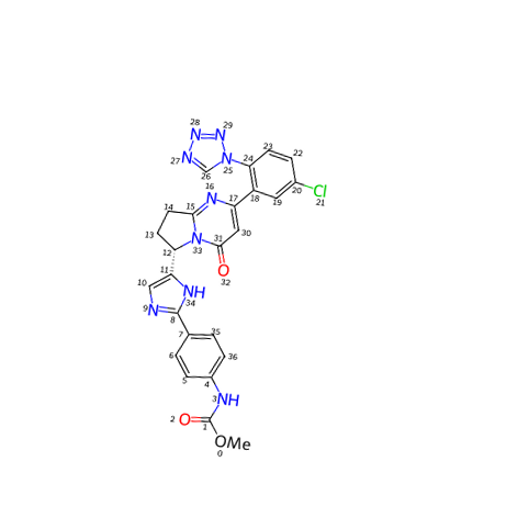 COC(=O)Nc1ccc(-c2ncc([C@@H]3CCc4nc(-c5cc(Cl)ccc5-n5cnnn5)cc(=O)n43)[nH]2)cc1